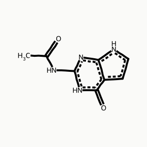 CC(=O)Nc1nc2[nH]ccc2c(=O)[nH]1